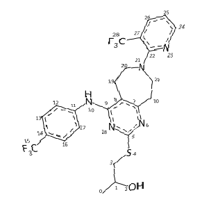 CC(O)CSc1nc2c(c(Nc3ccc(C(F)(F)F)cc3)n1)CCN(c1ncccc1C(F)(F)F)CC2